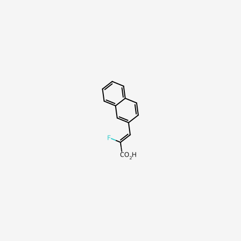 O=C(O)C(F)=Cc1ccc2ccccc2c1